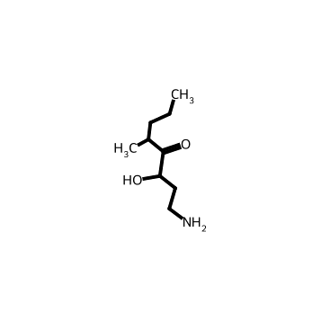 CCCC(C)C(=O)C(O)CCN